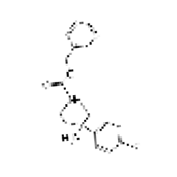 NC1(c2ccc(F)cc2)CCN(C(=O)OCc2ccccc2)CC1